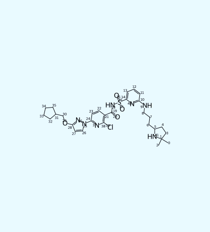 CC1(C)CCC(CCCNc2cccc(S(=O)(=O)NC(=O)c3ccc(-n4ccc(OCC5CCCC5)n4)nc3Cl)n2)N1